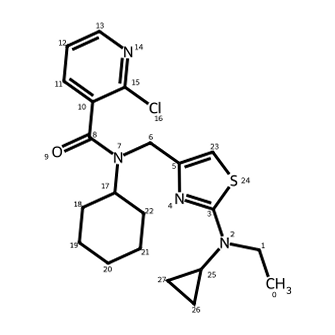 CCN(c1nc(CN(C(=O)c2cccnc2Cl)C2CCCCC2)cs1)C1CC1